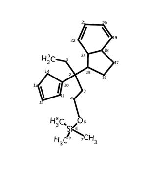 CCC(CCO[Si](C)(C)C)(C1=CC=CC1)C1CCC2C=CC=CC21